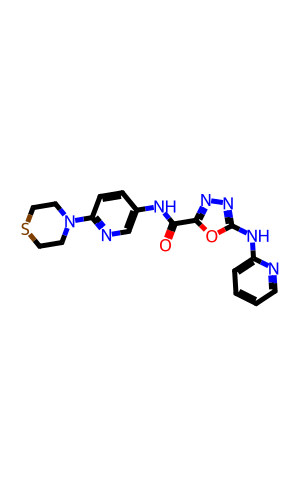 O=C(Nc1ccc(N2CCSCC2)nc1)c1nnc(Nc2ccccn2)o1